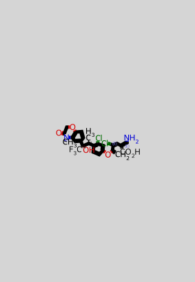 C=C(Oc1ccc([C@@H](C)[C@@](O)(c2ccc3c(c2)N(C)C(=O)CO3)C(F)(F)F)c(Cl)c1)/C(Cl)=C\C(=C/N)C(=O)O